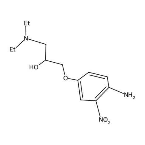 CCN(CC)CC(O)COc1ccc(N)c([N+](=O)[O-])c1